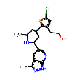 Cc1n[nH]c2ncc(C3CC(c4sc(Cl)cc4CCO)CC(C)N3)cc12